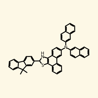 CC1(C)c2ccccc2-c2ccc(C3Nc4c(c5ccccc5c5cc(N(c6ccc7ccccc7c6)c6ccc7ccccc7c6)ccc45)S3)cc21